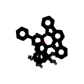 CC1(C)CC(C)(C)c2c(-n3c4ccccc4c4ccc5c6ccccc6n(-c6nc(-c7ccccc7)nc(-c7ccccc7)n6)c5c43)cccc21